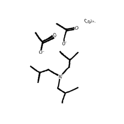 CC(=O)[O-].CC(=O)[O-].CC(C)[CH2][Al]([CH2]C(C)C)[CH2]C(C)C.[Co+2]